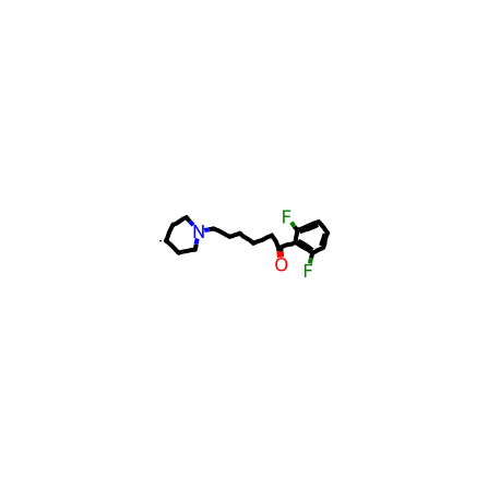 O=C(CCCCCN1CC[CH]CC1)c1c(F)cccc1F